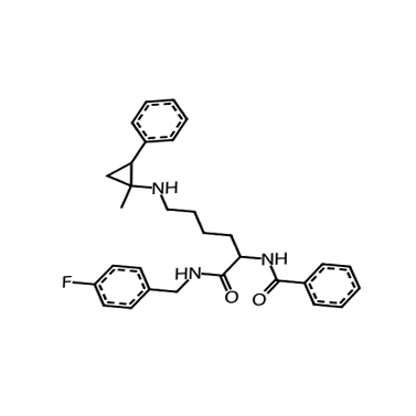 CC1(NCCCCC(NC(=O)c2ccccc2)C(=O)NCc2ccc(F)cc2)CC1c1ccccc1